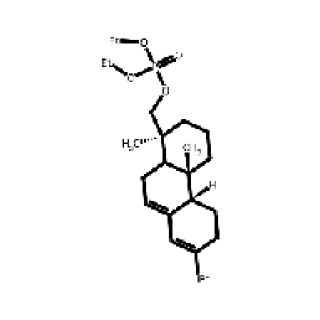 CCOP(=O)(OCC)OC[C@@]1(C)CCC[C@@]2(C)C1CC=C1C=C(C(C)C)CC[C@H]12